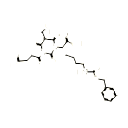 C=C(CCC(=O)O)N1C(=O)C(CC)C(=O)N([C@@H](CCCCNC(=O)OCc2ccccc2)C(=O)O)C1=O